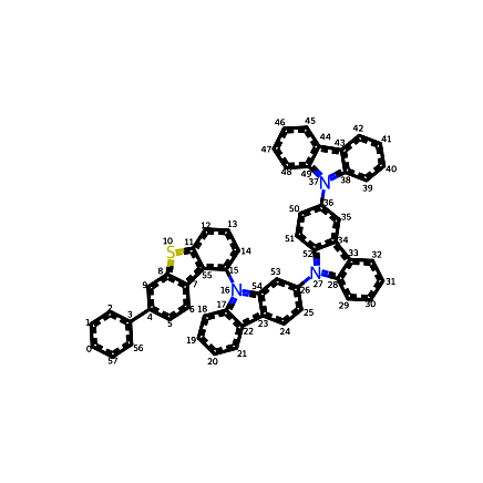 c1ccc(-c2ccc3c(c2)sc2cccc(-n4c5ccccc5c5ccc(-n6c7ccccc7c7cc(-n8c9ccccc9c9ccccc98)ccc76)cc54)c23)cc1